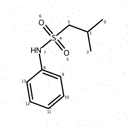 CC(C)CS(=O)(=O)Nc1cc[c]cc1